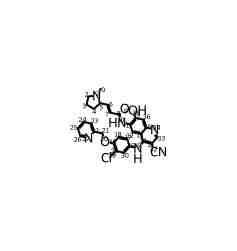 CN1CCCC1/C=C/C(=O)Nc1cc2c(Nc3ccc(OCc4ccccn4)c(Cl)c3)c(C#N)cnc2cc1O